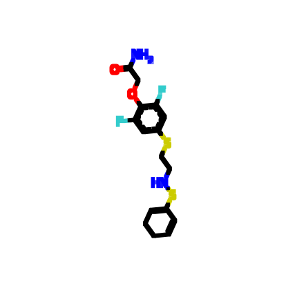 NC(=O)COc1c(F)cc(SCCNSC2=CCCC=C2)cc1F